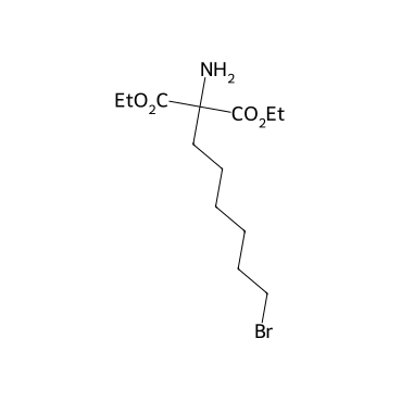 CCOC(=O)C(N)(CCCCCCBr)C(=O)OCC